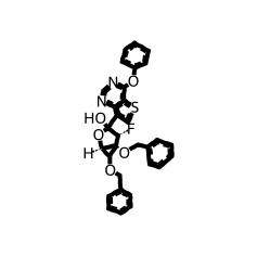 OC1(c2csc3c(Oc4ccccc4)ncnc23)O[C@@H]2C(OCc3ccccc3)[C@]2(OCc2ccccc2)[C@H]1F